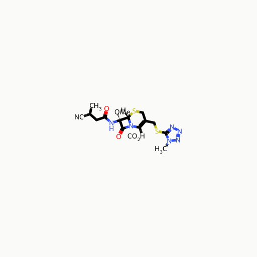 CO[C@@]1(NC(=O)CC(C)C#N)C(=O)N2C(C(=O)O)=C(CSc3nnnn3C)CS[C@H]21